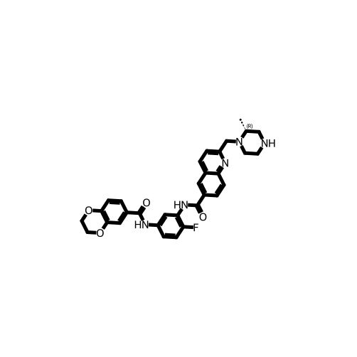 C[C@@H]1CNCCN1Cc1ccc2cc(C(=O)Nc3cc(NC(=O)c4ccc5c(c4)OCCO5)ccc3F)ccc2n1